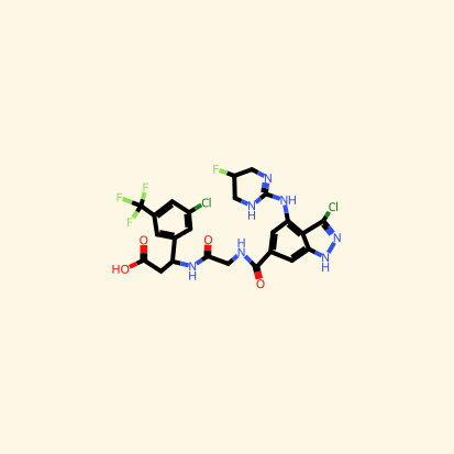 O=C(O)CC(NC(=O)CNC(=O)c1cc(NC2=NCC(F)CN2)c2c(Cl)n[nH]c2c1)c1cc(Cl)cc(C(F)(F)F)c1